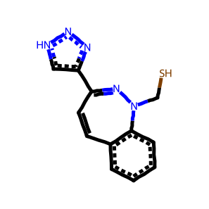 SCN1N=C(c2c[nH]nn2)C=Cc2ccccc21